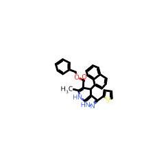 CC1=C(C(=O)OCc2ccccc2)C(c2cccc3ccccc23)c2c(-c3cccs3)n[nH]c2N1